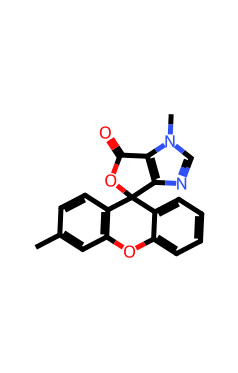 Cc1ccc2c(c1)Oc1ccccc1C21OC(=O)c2c1ncn2C